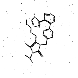 CCCCCc1c(C)n(C(C)C)c(=O)n1Cc1ccc(-c2ccncc2-c2nnn[nH]2)cc1